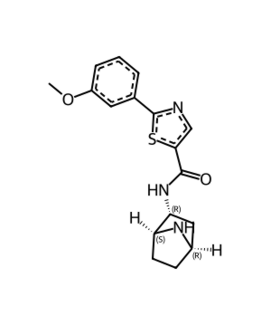 COc1cccc(-c2ncc(C(=O)N[C@@H]3C[C@H]4CC[C@@H]3N4)s2)c1